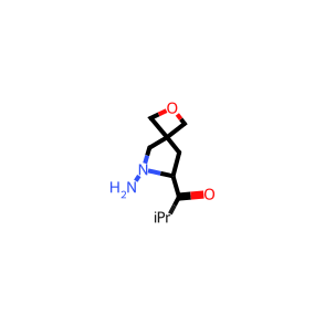 CC(C)C(=O)C1CC2(COC2)CN1N